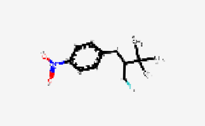 CC(C)(C)C(CF)Cc1ccc([N+](=O)[O-])cc1